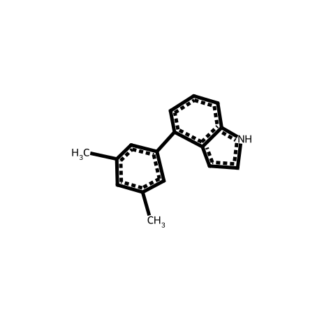 Cc1cc(C)cc(-c2cccc3[nH]ccc23)c1